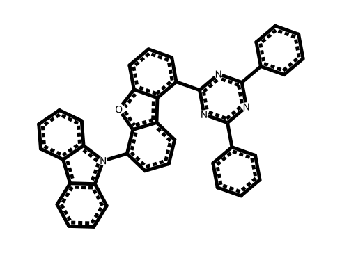 c1ccc(-c2nc(-c3ccccc3)nc(-c3cccc4oc5c(-n6c7ccccc7c7ccccc76)cccc5c34)n2)cc1